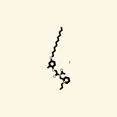 CCCCCCCCCCCCOc1ccc(OCC(=O)N(Cc2cccc[n+]2CCC)C(C)=O)c(C)c1.[I-]